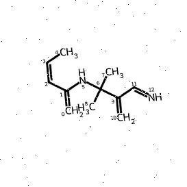 C=C(/C=C\C)NC(C)(C)C(=C)C=N